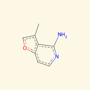 Cc1coc2ccnc(N)c12